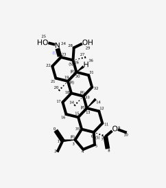 C=C(C)[C@@H]1CC[C@]2(C(=C)OC)CC[C@]3(C)C(CCC4[C@@]5(C)CC/C(=N\O)[C@@](C)(CO)[C@@H]5CC[C@]43C)C12